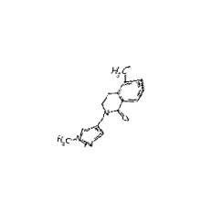 Cc1cccc2c1CCN(c1cnn(C)c1)C2=O